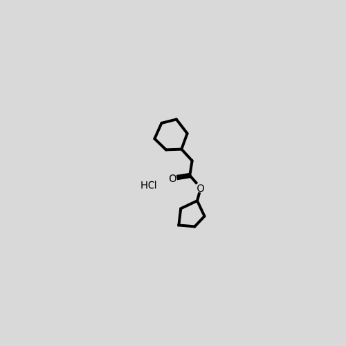 Cl.O=C(CC1CCCCC1)OC1CCCC1